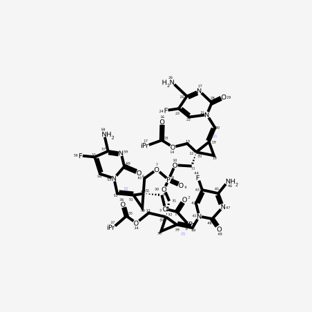 CC(C)C(=O)OC[C@]1(COP(=O)(OC[C@@]2(COC(=O)C(C)C)C/C2=C/n2cc(F)c(N)nc2=O)OC[C@@]2(COC(=O)C(C)C)C/C2=C/n2cc(F)c(N)nc2=O)C/C1=C/n1cc(F)c(N)nc1=O